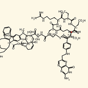 CCC1(O)CC2CN(CCc3c([nH]c4ccccc34)[C@@](C(=O)OC)(c3cc4c(cc3OC)N(C)[C@H]3[C@@](O)(C(=O)NNC(=O)OCCSSC[C@H](NC(=O)[C@H](CC(=O)O)NC(=O)[C@H](CC(=O)O)NC(=O)[C@H](CCCNC(=N)N)NC(=O)[C@H](CC(=O)O)NC(=O)CC[C@H](NC(=O)c5ccc(NCc6cnc7nc(N)[nH]c(=O)c7n6)cc5)C(=O)O)C(=O)O)[C@H](O)[C@]5(CC)C=CCN6CC[C@]43[C@@H]65)C2)C1